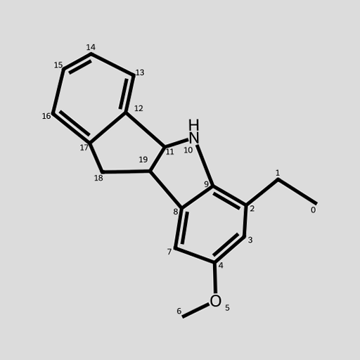 CCc1cc(OC)cc2c1NC1c3ccccc3CC21